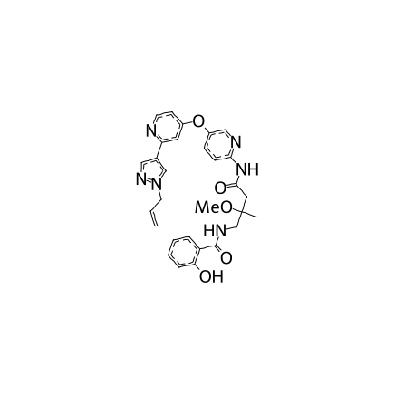 C=CCn1cc(-c2cc(Oc3ccc(NC(=O)CC(C)(CNC(=O)c4ccccc4O)OC)nc3)ccn2)cn1